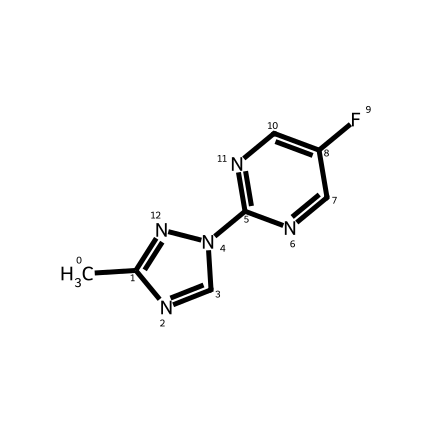 Cc1ncn(-c2ncc(F)cn2)n1